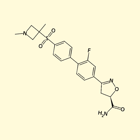 CN1CC(C)(S(=O)(=O)c2ccc(-c3ccc(C4=NO[C@@H](C(N)=O)C4)cc3F)cc2)C1